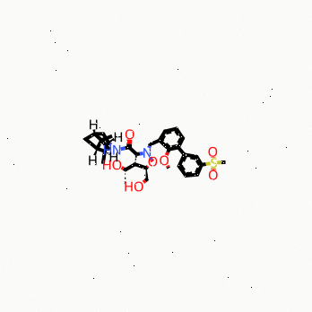 COc1c(CN2O[C@@H](CO)[C@H]([C@H](C)O)C2C(=O)N[C@H]2C[C@H]3C[C@@H]([C@@H]2C)C3(C)C)cccc1-c1cccc(S(C)(=O)=O)c1